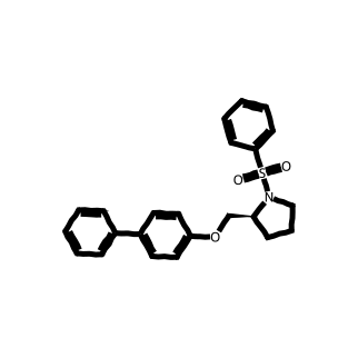 O=S(=O)(c1ccccc1)N1CCC[C@H]1COc1ccc(-c2[c]cccc2)cc1